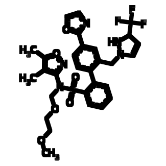 COCCOCN(c1noc(C)c1C)S(=O)(=O)c1ccccc1-c1ccc(-c2ncco2)cc1CN1C=CC(C(F)(F)F)N1